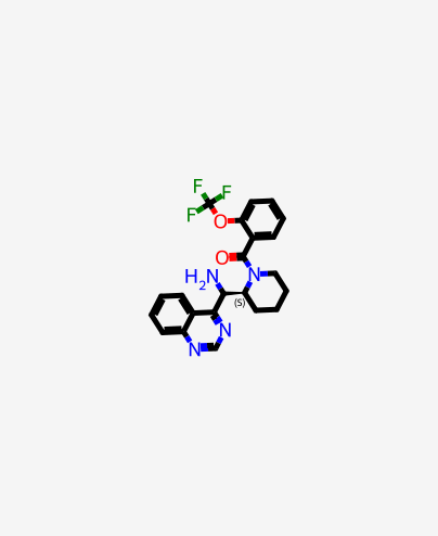 NC(c1ncnc2ccccc12)[C@@H]1CCCCN1C(=O)c1ccccc1OC(F)(F)F